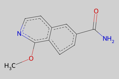 COc1nccc2cc(C(N)=O)ccc12